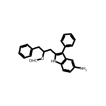 Nc1ccc2[nH]c(CC(Cc3ccccc3)OC=O)c(-c3ccccc3)c2c1